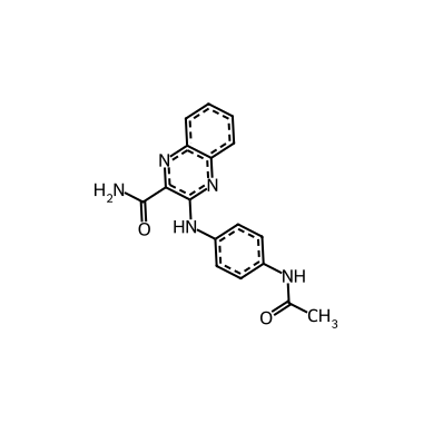 CC(=O)Nc1ccc(Nc2nc3ccccc3nc2C(N)=O)cc1